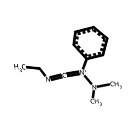 CCN=C=[N+](c1ccccc1)N(C)C